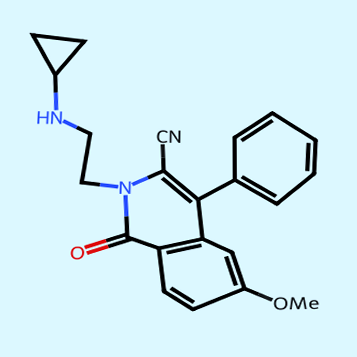 COc1ccc2c(=O)n(CCNC3CC3)c(C#N)c(-c3ccccc3)c2c1